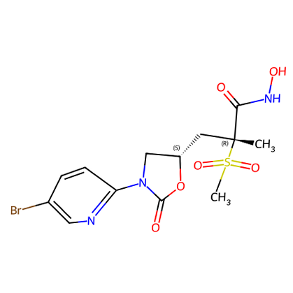 C[C@@](C[C@H]1CN(c2ccc(Br)cn2)C(=O)O1)(C(=O)NO)S(C)(=O)=O